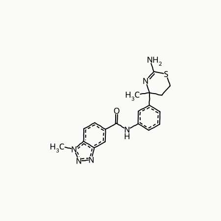 Cn1nnc2cc(C(=O)Nc3cccc(C4(C)CCSC(N)=N4)c3)ccc21